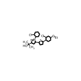 CCOc1ccc(-c2ccc(-c3cc(C(C)(C)O)nn3-c3ccccc3Cl)s2)c(Cl)c1